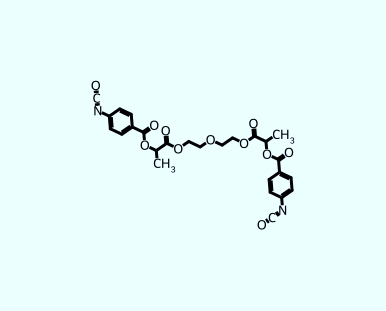 CC(OC(=O)c1ccc(N=C=O)cc1)C(=O)OCCOCCOC(=O)C(C)OC(=O)c1ccc(N=C=O)cc1